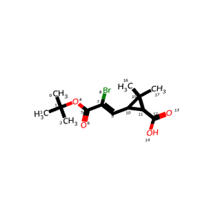 CC(C)(C)OC(=O)C(Br)=CC1C(C(=O)O)C1(C)C